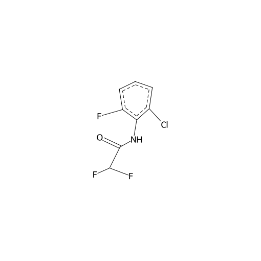 O=C(Nc1c(F)cccc1Cl)C(F)F